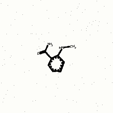 CNc1ccccc1C(N)=O